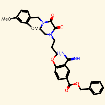 COc1ccc(CN2CCN(CCCOc3ccc(C(=O)OCc4ccccc4)cc3C(=N)N)C(=O)C2=O)c(OC)c1